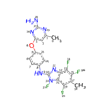 Cc1cc(Oc2ccc(Nc3nc4c(F)c(F)c(C)c(F)c4n3F)cc2)nc(N)n1